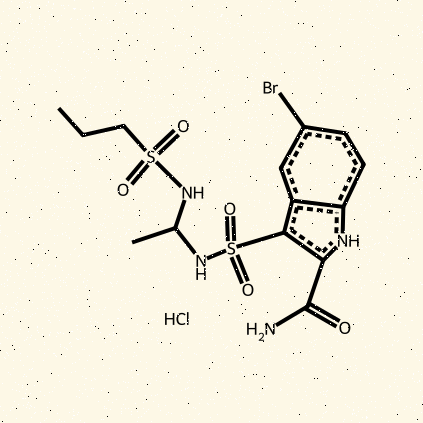 CCCS(=O)(=O)NC(C)NS(=O)(=O)c1c(C(N)=O)[nH]c2ccc(Br)cc12.Cl